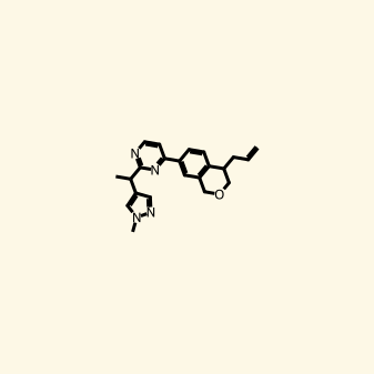 C=CCC1COCc2cc(-c3ccnc(C(C)c4cnn(C)c4)n3)ccc21